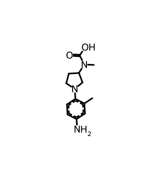 Cc1cc(N)ccc1N1CCC(N(C)C(=O)O)C1